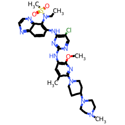 CCN(c1c(Nc2nc(Nc3cc(C)c(N4CCC(N5CCN(C)CC5)CC4)nc3OC)ncc2Cl)ccc2nccnc12)S(C)(=O)=O